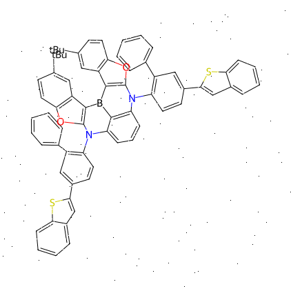 CC(C)(C)c1ccc2oc3c(c2c1)B1c2c(cccc2N(c2ccc(-c4cc5ccccc5s4)cc2-c2ccccc2)c2oc4ccc(C(C)(C)C)cc4c21)N3c1ccc(-c2cc3ccccc3s2)cc1-c1ccccc1